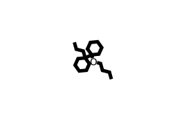 CCCCOC1(C2(CCC)CCCCC2)CCCCC1